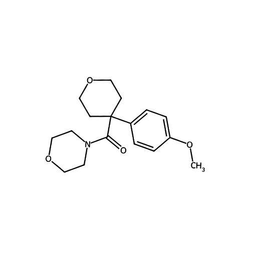 COc1ccc(C2(C(=O)N3CCOCC3)CCOCC2)cc1